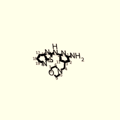 Nc1cc(CN2CCOCC2)cc(Nc2nc3cccnc3s2)n1